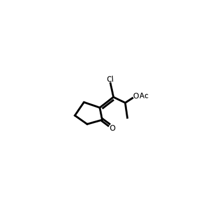 CC(=O)OC(C)C(Cl)=C1CCCC1=O